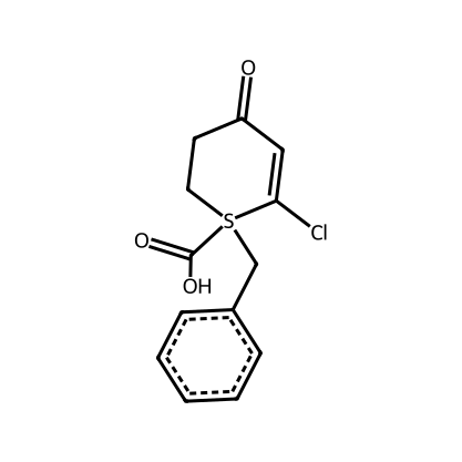 O=C1C=C(Cl)S(Cc2ccccc2)(C(=O)O)CC1